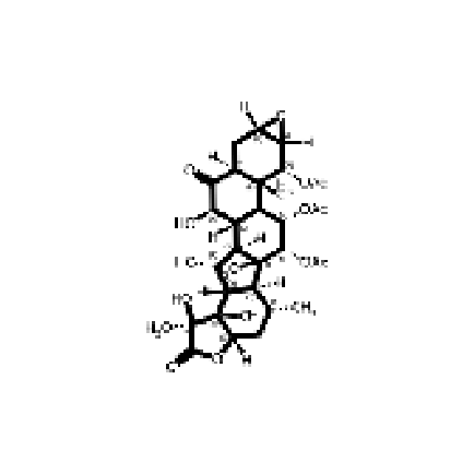 CC(=O)O[C@H]1C2[C@H]([C@@H]3[C@@H](O)[C@@H]4[C@H]([C@H](C)C[C@@H]5OC(=O)[C@@](C)(O)[C@]45C)[C@@]3(C)[C@H]1OC(C)=O)[C@@H](O)C(=O)[C@H]1C[C@@H]3O[C@@H]3[C@H](OC(C)=O)[C@]21C